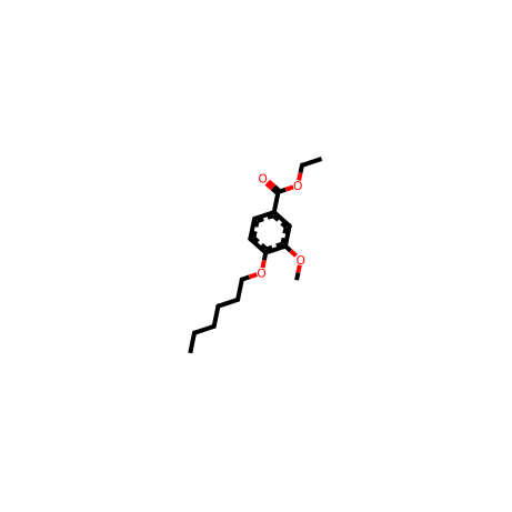 CCCCCCOc1ccc(C(=O)OCC)cc1OC